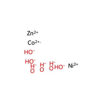 [Co+2].[Ni+2].[OH-].[OH-].[OH-].[OH-].[OH-].[OH-].[Zn+2]